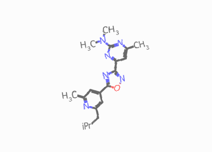 Cc1cc(-c2nc(-c3cc(C)nc(N(C)C)n3)no2)cc(CC(C)C)n1